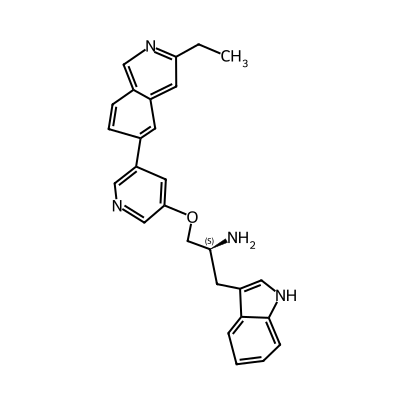 CCc1cc2cc(-c3cncc(OC[C@@H](N)Cc4c[nH]c5ccccc45)c3)ccc2cn1